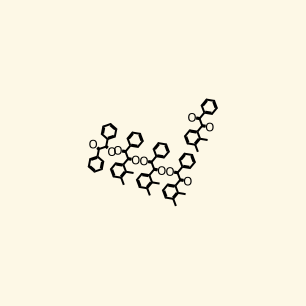 Cc1cccc(C(=O)C(=O)c2ccccc2)c1C.Cc1cccc(C(=O)C(=O)c2ccccc2)c1C.Cc1cccc(C(=O)C(=O)c2ccccc2)c1C.Cc1cccc(C(=O)C(=O)c2ccccc2)c1C.O=C(C(=O)c1ccccc1)c1ccccc1